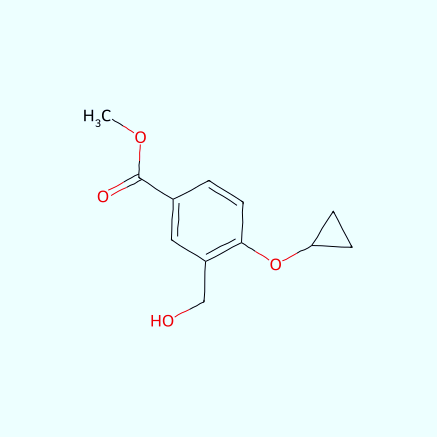 COC(=O)c1ccc(OC2CC2)c(CO)c1